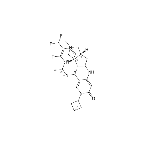 C[C@@H](NC(=O)c1cn(C23CC(C2)C3)c(=O)cc1NC1C[C@@H]2CN(C)C[C@@H]2C1)c1cccc(C(F)F)c1F